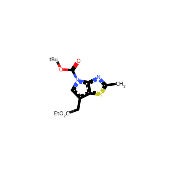 CCOC(=O)Cc1cn(C(=O)OC(C)(C)C)c2nc(C)sc12